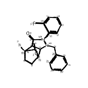 CC12C[C@@]13CC[C@@H]2C1C(=O)N(c2ccccc2F)N(Cc2ccccc2)C13